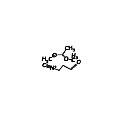 COC(C)OC.[C-]#[N+]CCC=O